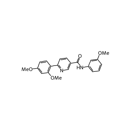 COc1cccc(NC(=O)c2ccc(-c3ccc(OC)cc3OC)nc2)c1